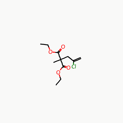 C=C(Cl)CC(C)(C(=O)OCC)C(=O)OCC